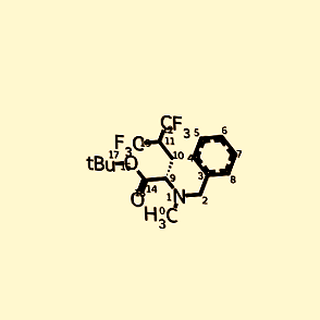 CN(Cc1ccccc1)[C@@H](CC(C(F)(F)F)C(F)(F)F)C(=O)OC(C)(C)C